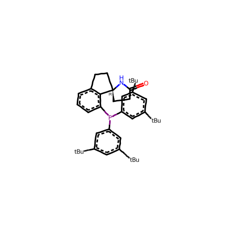 CC(C)(C)c1cc(P(c2cc(C(C)(C)C)cc(C(C)(C)C)c2)c2cccc3c2[C@]2(CCC(=O)N2)CC3)cc(C(C)(C)C)c1